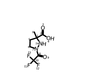 CC1(C(=O)O)CCN(C(=O)C(F)(F)F)N1